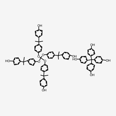 CC(C)(c1ccc(O)cc1)c1ccc(OC(Oc2ccc(C(C)(C)c3ccc(O)cc3)cc2)(Oc2ccc(C(C)(C)c3ccc(O)cc3)cc2)Oc2ccc(C(C)(C)c3ccc(O)cc3)cc2)cc1.Oc1ccc(C(c2ccc(O)cc2)(c2ccc(O)cc2)c2ccc(O)cc2)cc1